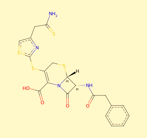 NC(=S)Cc1csc(SC2=C(C(=O)O)N3C(=O)[C@@H](NC(=O)Cc4ccccc4)[C@H]3SC2)n1